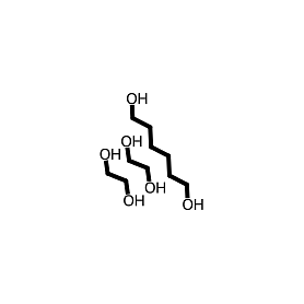 OCCCCCCO.OCCO.OCCO